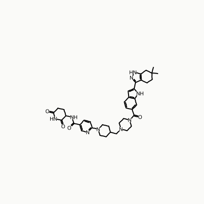 CC1(C)CCc2c(-c3cc4ccc(C(=O)N5CCN(CC6CCN(c7ccc(C(=O)NC8CCC(=O)NC8=O)cn7)CC6)CC5)cc4[nH]3)n[nH]c2C1